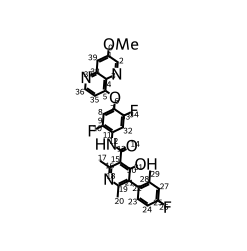 COc1cnc2c(Oc3cc(F)c(NC(=O)c4c(C)nc(C)c(-c5ccc(F)cc5C)c4O)cc3F)ccnc2c1